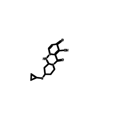 O=C1c2c(O)c(=O)ccn2NC2CC(SC3CC3)CCN12